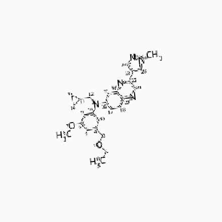 CCOCc1cc(OC)cc(N(CC2CC2)c2ccc3ncc(-c4cnn(C)c4)nc3c2)c1